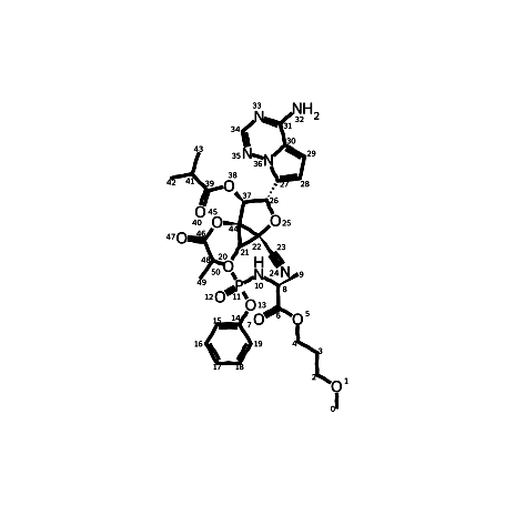 COCCCOC(=O)[C@H](C)NP(=O)(Oc1ccccc1)OC1[C@@]2(C#N)O[C@@H](c3ccc4c(N)ncnn34)[C@H](OC(=O)C(C)C)[C@@]12OC(=O)C(C)C